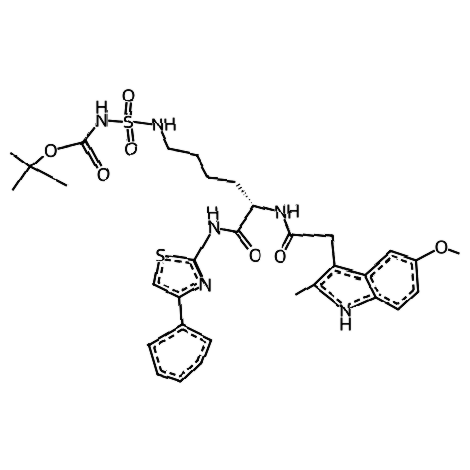 COc1ccc2[nH]c(C)c(CC(=O)N[C@@H](CCCCNS(=O)(=O)NC(=O)OC(C)(C)C)C(=O)Nc3nc(-c4ccccc4)cs3)c2c1